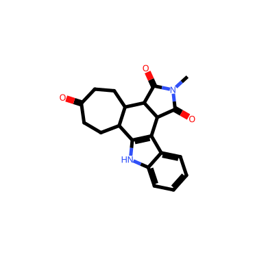 CN1C(=O)C2c3c([nH]c4ccccc34)C3CCC(=O)CCC3C2C1=O